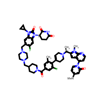 CNc1ccn(-c2ccnc3c2cc([C@H](C)N2CC=C(c4c(C)cc(C(=O)N5CCC(CN6CCN(Cc7cc8c(cc7F)n([C@@H]7CCC(=O)NC7=O)c(=O)n8C7CC7)CC6)CC5)cc4F)CC2)n3C)c(=O)c1